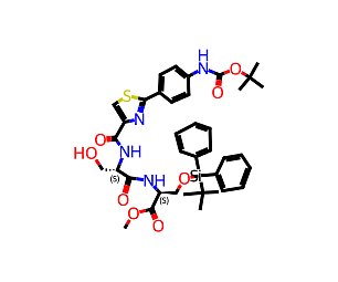 COC(=O)[C@H](CO[Si](c1ccccc1)(c1ccccc1)C(C)(C)C)NC(=O)[C@H](CO)NC(=O)c1csc(-c2ccc(NC(=O)OC(C)(C)C)cc2)n1